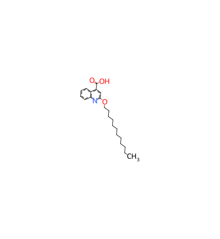 CCCCCCCCCCCCOc1cc(C(=O)O)c2ccccc2n1